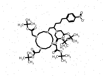 CC(C)(C)OC(=O)CN1CCN(CC(=O)OC(C)(C)C)CCN(CC(CCCc2ccc([N+](=O)[O-])cc2)N(CC(=O)OC(C)(C)C)CC(=O)OC(C)(C)C)CCN(CC(=O)OC(C)(C)C)CC1